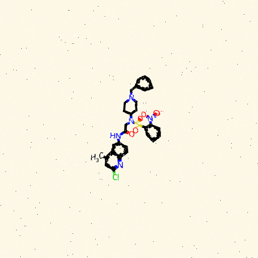 Cc1cc(Cl)nc2ccc(NC(=O)CN(C3CCN(Cc4ccccc4)CC3)S(=O)(=O)c3ccccc3[N+](=O)[O-])cc12